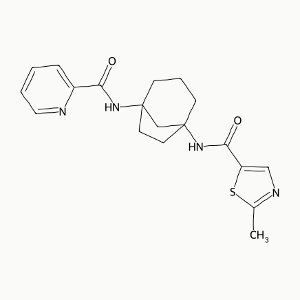 Cc1ncc(C(=O)NC23CCCC(NC(=O)c4ccccn4)(CC2)C3)s1